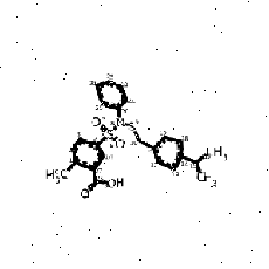 Cc1ccc(S(=O)(=O)N(SCc2ccc(C(C)C)cc2)c2ccccc2)cc1C(=O)O